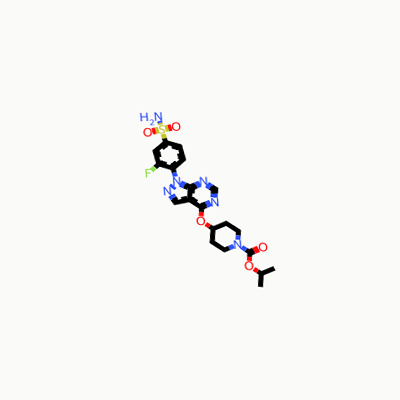 CC(C)OC(=O)N1CCC(Oc2ncnc3c2cnn3-c2ccc(S(N)(=O)=O)cc2F)CC1